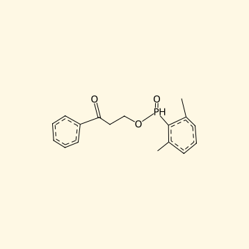 Cc1cccc(C)c1[PH](=O)OCCC(=O)c1ccccc1